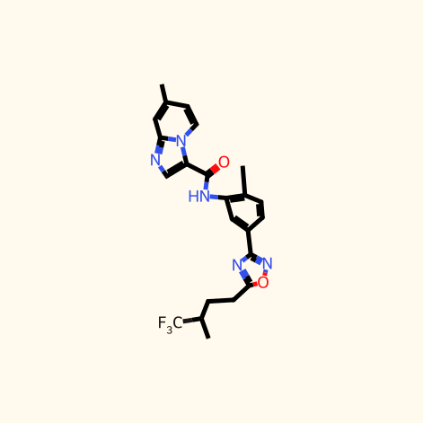 Cc1ccn2c(C(=O)Nc3cc(-c4noc(CCC(C)C(F)(F)F)n4)ccc3C)cnc2c1